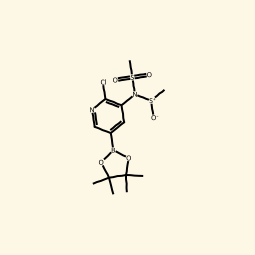 C[S+]([O-])N(c1cc(B2OC(C)(C)C(C)(C)O2)cnc1Cl)S(C)(=O)=O